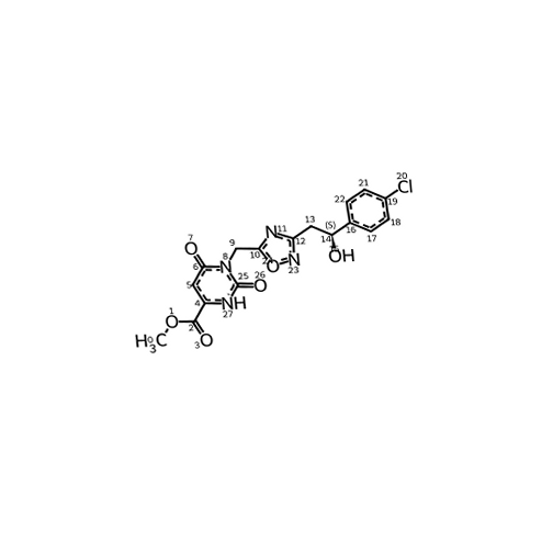 COC(=O)c1cc(=O)n(Cc2nc(C[C@H](O)c3ccc(Cl)cc3)no2)c(=O)[nH]1